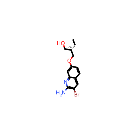 CC[C@@H](CO)COc1ccc2cc(Br)c(N)nc2c1